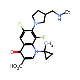 CCNCC1CCN(c2c(F)cc3c(=O)c(C(=O)O)cn(C4(C)CC4)c3c2F)C1